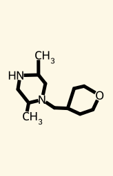 CC1CN(CC2CCOCC2)C(C)CN1